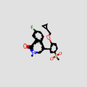 Cn1cc(-c2cc(S(C)(=O)=O)ccc2OCC2CC2)c2ccc(F)cc2c1=O